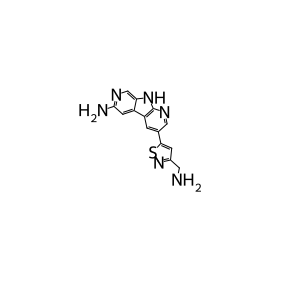 NCc1cc(-c2cnc3[nH]c4cnc(N)cc4c3c2)sn1